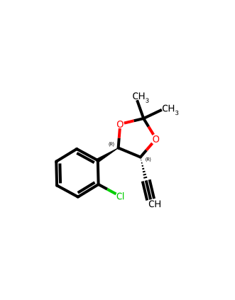 C#C[C@H]1OC(C)(C)O[C@@H]1c1ccccc1Cl